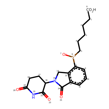 O=C(O)CCCCC[S+]([O-])c1cccc2c1CN(C1CCC(=O)NC1=O)C2=O